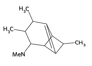 CNC1C(C)C(C)C2=C3C(C)C2C31